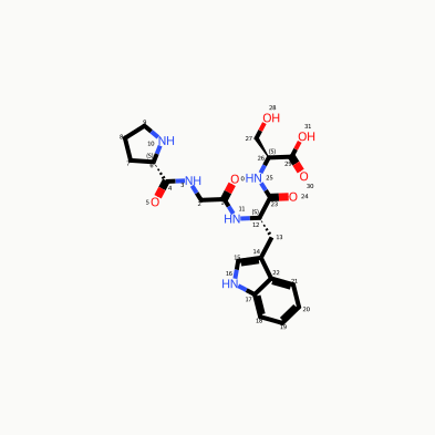 O=C(CNC(=O)[C@@H]1CCCN1)N[C@@H](Cc1c[nH]c2ccccc12)C(=O)N[C@@H](CO)C(=O)O